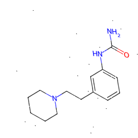 NC(=O)Nc1cccc(CCN2CCCCC2)c1